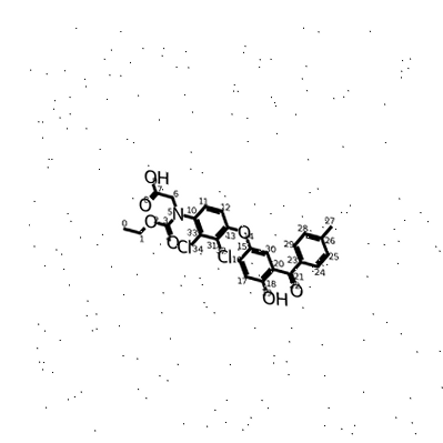 CCOC(=O)N(CC(=O)O)c1ccc(Oc2ccc(O)c(C(=O)c3ccc(C)cc3)c2)c(Cl)c1Cl